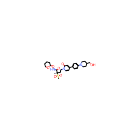 C[C@@](CCn1ccc(-c2ccc(N3CCC(CO)CC3)cc2)cc1=O)(C(=O)NOC1CCCCO1)S(C)(=O)=O